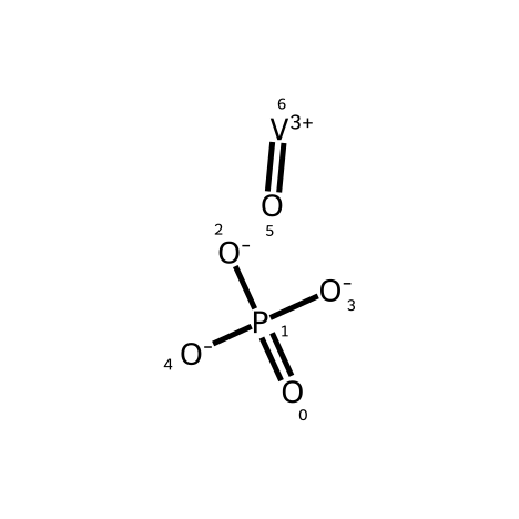 O=P([O-])([O-])[O-].[O]=[V+3]